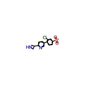 CS(=O)(=O)c1ccc(-c2ccc(C3CNC3)nc2)c(Cl)c1